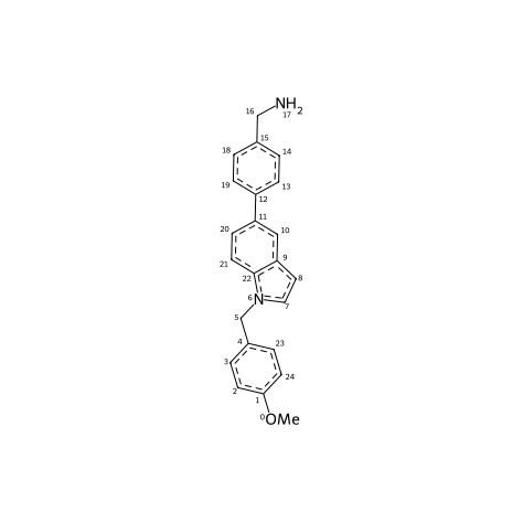 COc1ccc(Cn2ccc3cc(-c4ccc(CN)cc4)ccc32)cc1